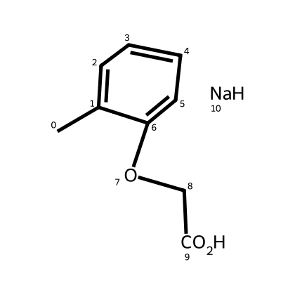 Cc1ccccc1OCC(=O)O.[NaH]